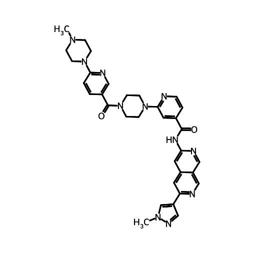 CN1CCN(c2ccc(C(=O)N3CCN(c4cc(C(=O)Nc5cc6cc(-c7cnn(C)c7)ncc6cn5)ccn4)CC3)cn2)CC1